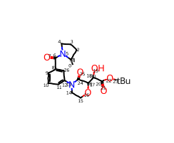 C[C@@H]1CCCN1C(=O)c1cccc(N2CCO[C@H]([C@@H](O)C(=O)OC(C)(C)C)C2=O)c1